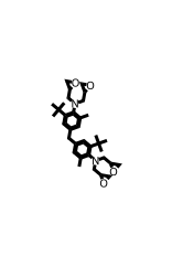 Cc1cc(Cc2cc(C)c(N(CC3CO3)CC3CO3)c(C(C)(C)C)c2)cc(C(C)(C)C)c1N(CC1CO1)CC1CO1